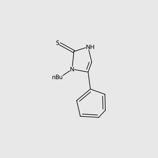 CCCCn1c(-c2ccccc2)c[nH]c1=S